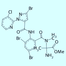 COC(=O)C(C)(N)N(C)C(=O)c1cc(Br)cc(Br)c1NC(=O)c1cc(Br)nn1-c1ncccc1Cl